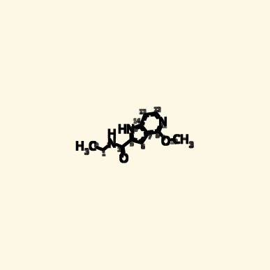 CCNC(=O)c1cc2c(OC)nccc2[nH]1